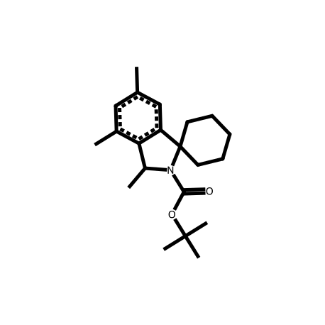 Cc1cc(C)c2c(c1)C1(CCCCC1)N(C(=O)OC(C)(C)C)C2C